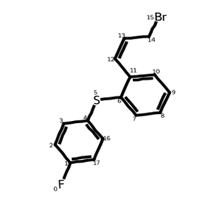 Fc1ccc(Sc2ccccc2/C=C\CBr)cc1